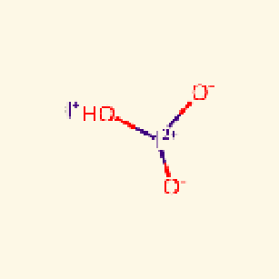 [I+].[O-][I+2]([O-])O